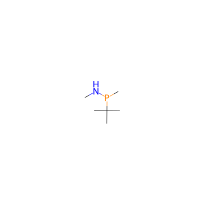 CNP(C)C(C)(C)C